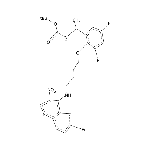 CC(NC(=O)OC(C)(C)C)c1cc(F)cc(F)c1OCCCCNc1c([N+](=O)[O-])cnc2ccc(Br)cc12